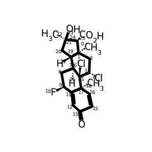 C[C@]12C[C@H](Cl)[C@@]3(Cl)[C@@H](C[C@H](F)C4=CC(=O)C=C[C@@]43C)[C@@H]1C[C@@](C)(O)[C@@H]2C(=O)O